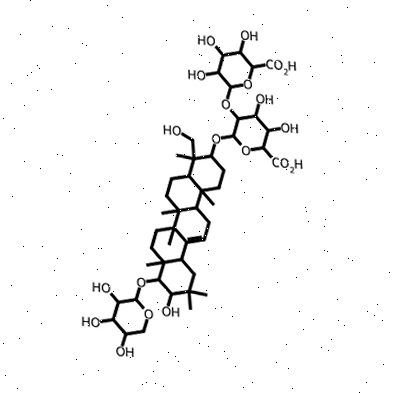 CC1(C)CC2C3=CCC4C5(C)CCC(OC6OC(C(=O)O)C(O)C(O)C6OC6OC(C(=O)O)C(O)C(O)C6O)C(C)(CO)C5CCC4(C)C3(C)CCC2(C)C(OC2OCC(O)C(O)C2O)C1O